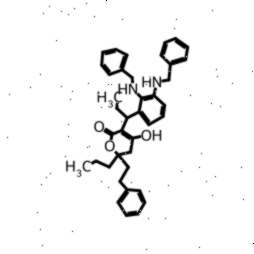 CCCC1(CCc2ccccc2)CC(O)=C(C(CC)c2cccc(NCc3ccccc3)c2NCc2ccccc2)C(=O)O1